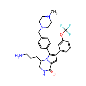 CN1CCN(Cc2ccc(-c3c(-c4cccc(OC(F)(F)F)c4)cc4n3C(CCCN)CNC4=O)cc2)CC1